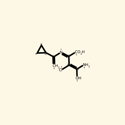 C=C(/N=C(C(=O)O)\C(Cl)=C(/N)O)C1CC1